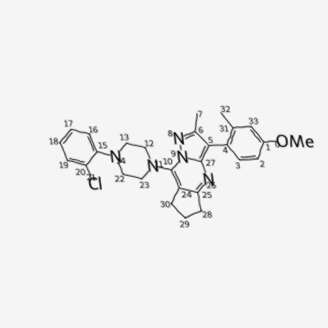 COc1ccc(-c2c(C)nn3c(N4CCN(c5ccccc5Cl)CC4)c4c(nc23)CCC4)c(C)c1